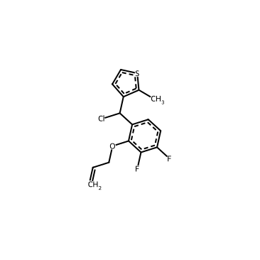 C=CCOc1c(C(Cl)c2ccsc2C)ccc(F)c1F